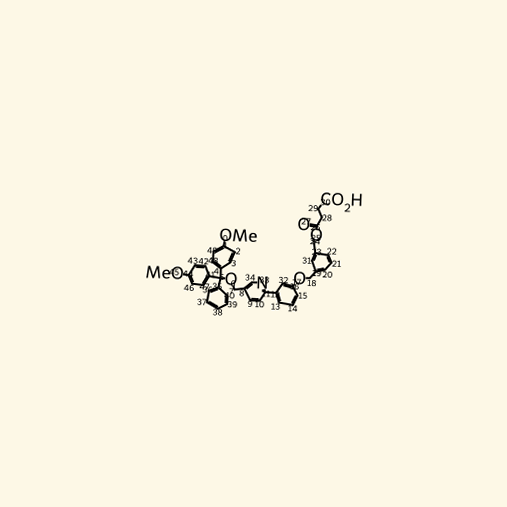 COc1ccc(C(OCc2ccc(-c3cccc(OCc4cccc(COC(=O)CCC(=O)O)c4)c3)nc2)(c2ccccc2)c2ccc(OC)cc2)cc1